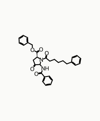 O=C(NC1C(=O)C[C@@H](C(=O)OCc2ccccc2)N1C(=O)CCCCCc1ccccc1)c1ccccc1